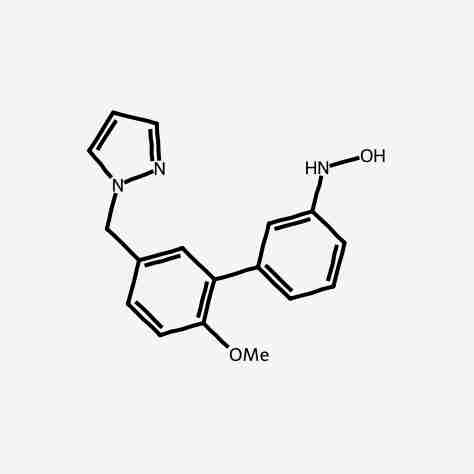 COc1ccc(Cn2cccn2)cc1-c1cccc(NO)c1